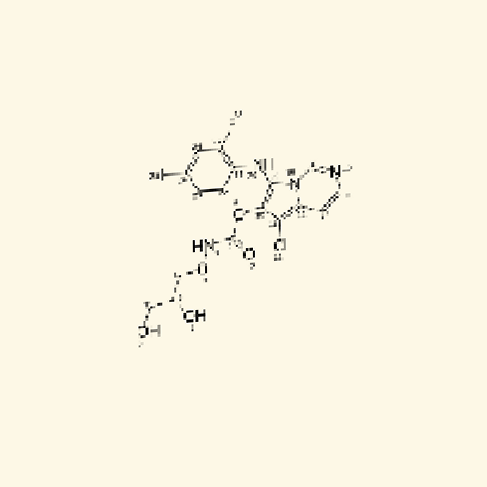 O=C(NOC[C@H](O)CO)Oc1c(Cl)c2ccncn2c1Nc1ccc(I)cc1F